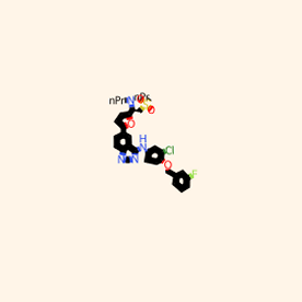 CCCN(CCC)[C@@H](CS(C)(=O)=O)c1ccc(-c2ccc3ncnc(Nc4ccc(OCc5cccc(F)c5)c(Cl)c4)c3c2)o1